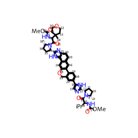 COC(=O)NC(C(=O)N1[C@@H](C)CC[C@H]1c1ncc(-c2ccc3c(c2)COc2cc4c(ccc5nc([C@@H]6CC[C@H](C)N6C(=O)[C@@H](NC(=O)OC)C6(C)CCOCC6)[nH]c54)cc2-3)[nH]1)C(C)C